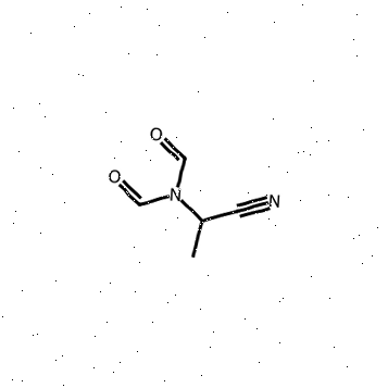 CC(C#N)N(C=O)C=O